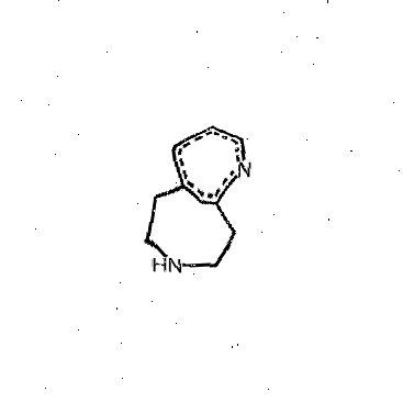 [c]1ccc2c(n1)CCNCC2